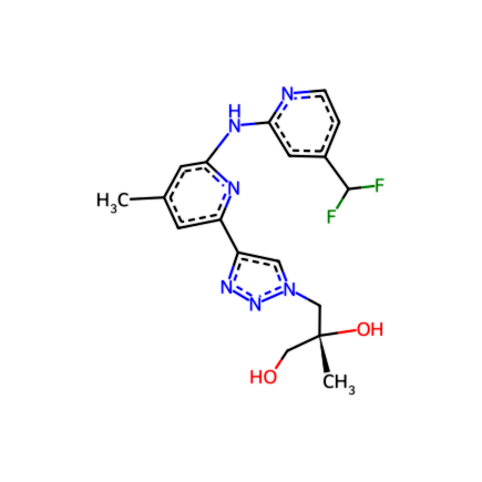 Cc1cc(Nc2cc(C(F)F)ccn2)nc(-c2cn(C[C@](C)(O)CO)nn2)c1